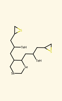 [TeH]C(CC1CS1)CC1C[Se]C[Se]C1CC([TeH])CC1CS1